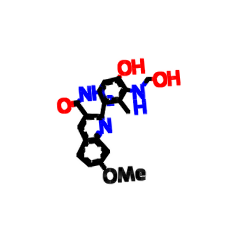 COc1ccc2cc(C(N)=O)c(-c3ccc(O)c(NCO)c3C)nc2c1